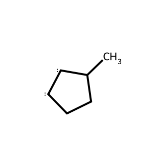 CC1[C][C]CC1